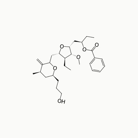 C=C1C(C[C@@H]2O[C@H](C[C@@H](CC)OC(=O)c3ccccc3)[C@H](OC)[C@H]2CC)O[C@@H](CCCO)C[C@H]1C